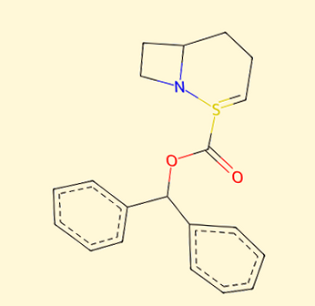 O=C(OC(c1ccccc1)c1ccccc1)S1=CCCC2CCN21